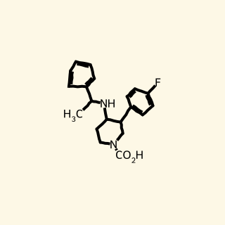 CC(NC1CCN(C(=O)O)CC1c1ccc(F)cc1)c1ccccc1